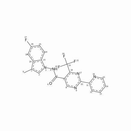 Cc1cn(NC(=O)c2cnc(-c3ccccn3)nc2C(F)(F)F)c2ccc(F)cc12